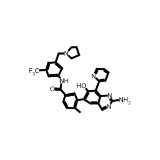 Cc1ccc(C(=O)Nc2cc(CN3CCCC3)cc(C(F)(F)F)c2)cc1-c1cc2cnc(N)nc2c(-c2ccccn2)c1O